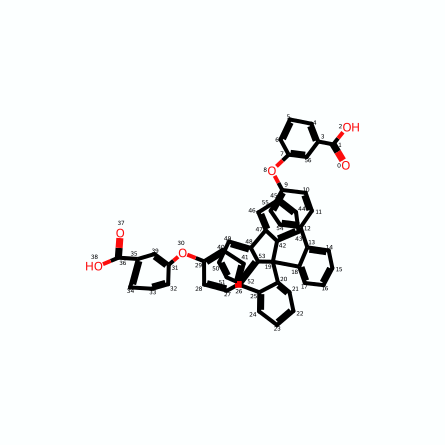 O=C(O)c1cccc(Oc2ccc(-c3ccccc3C3(c4ccccc4-c4ccc(Oc5cccc(C(=O)O)c5)cc4)c4ccccc4-c4ccccc43)cc2)c1